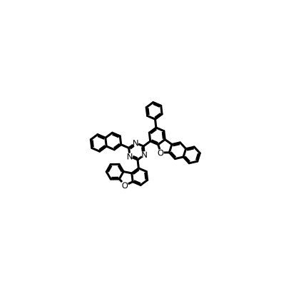 c1ccc(-c2cc(-c3nc(-c4ccc5ccccc5c4)nc(-c4cccc5oc6ccccc6c45)n3)c3oc4cc5ccccc5cc4c3c2)cc1